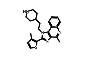 Cc1ccsc1-c1nc2c(C)nc3ccccc3c2n1CCC1CCNCC1